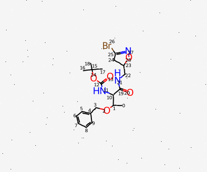 CC(OCc1ccccc1)C(NC(=O)OC(C)(C)C)C(=O)NCC1CC(Br)=NO1